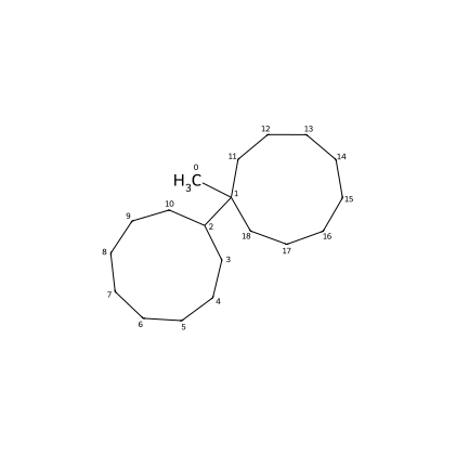 CC1(C2CCCCCCCC2)CCCCCCCC1